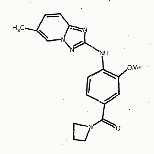 COc1cc(C(=O)N2CCC2)ccc1Nc1nc2ccc(C)cn2n1